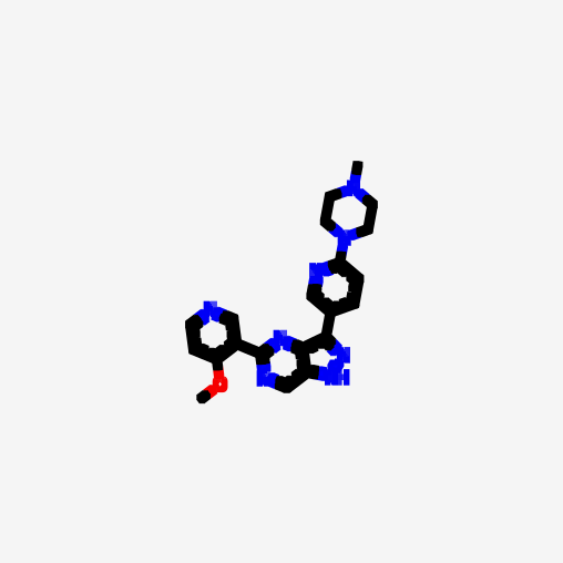 COc1ccncc1-c1ncc2[nH]nc(-c3ccc(N4CCN(C)CC4)nc3)c2n1